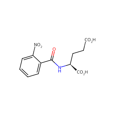 O=C(O)CC[C@H](NC(=O)c1ccccc1[N+](=O)[O-])C(=O)O